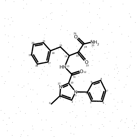 Cc1cn(-c2ccccc2)c(C(=O)NC(Cc2ccccc2)C(=O)C(N)=O)n1